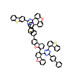 C1=CC(C2=C(c3nc(-c4ccc(-c5ccccc5)cc4)nc(-c4cccc5sc6ccccc6c45)n3)C3c4ccccc4OC3C=C2)=C2Oc3ccc(-c4ccc5c(c4)sc4cccc(-c6cccc7oc8cccc(-c9nc(-c%10ccccc%10)nc(-c%10ccc%11c(c%10)sc%10ccccc%10%11)n9)c8c67)c45)cc3C2C1